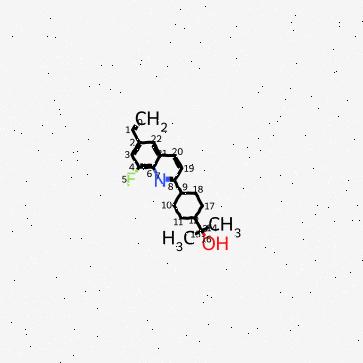 C=Cc1cc(F)c2nc(C3CCC(C(C)(C)O)CC3)ccc2c1